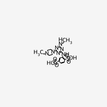 CCNc1nc(Nc2cc(S(=O)(=O)O)ccc2S(=O)(=O)O)nc(N2CCN(CC)CC2)n1